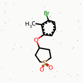 Cc1c(Br)cccc1OC1CCS(=O)(=O)CC1